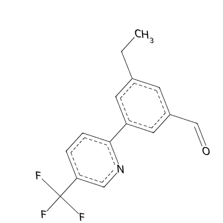 CCc1cc(C=O)cc(-c2ccc(C(F)(F)F)cn2)c1